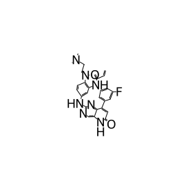 C=CC(=O)Nc1cc(Nc2ncc3[nH]c(=O)cc(-c4cccc(F)c4)c3n2)ccc1N(C)CCN(C)C